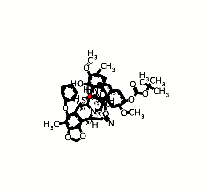 COc1cc2c(cc1OC(=O)OC(C)(C)C)CCN[C@]21CS[C@@H]2c3c(Oc4ccccc4)c(C)c4c(c3[C@H](COC1=O)N1C2[C@@H]2c3c(cc(C)c(OC)c3O)C[C@@H]([C@@H]1C#N)N2C)OCO4